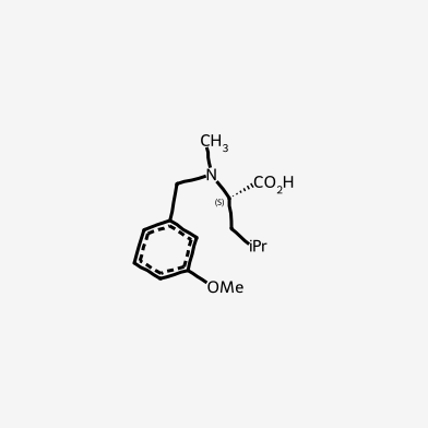 COc1cccc(CN(C)[C@@H](CC(C)C)C(=O)O)c1